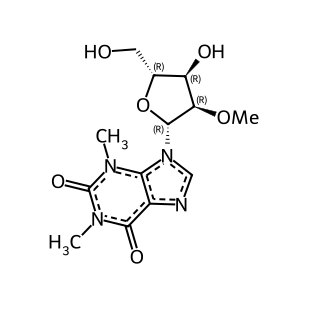 CO[C@@H]1[C@H](O)[C@@H](CO)O[C@H]1n1cnc2c(=O)n(C)c(=O)n(C)c21